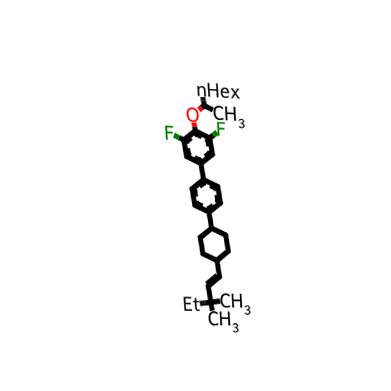 CCCCCCC(C)Oc1c(F)cc(-c2ccc(C3CCC(/C=C/C(C)(C)CC)CC3)cc2)cc1F